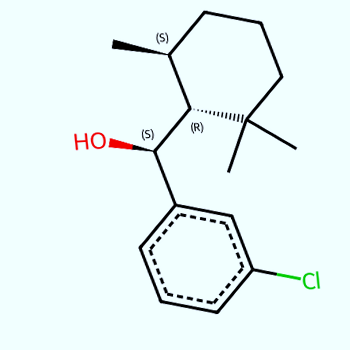 C[C@H]1CCCC(C)(C)[C@@H]1[C@H](O)c1cccc(Cl)c1